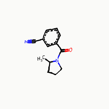 CC1CCCN1C(=O)c1cccc(C#N)c1